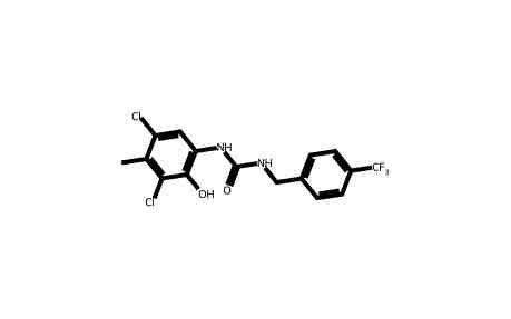 Cc1c(Cl)cc(NC(=O)NCc2ccc(C(F)(F)F)cc2)c(O)c1Cl